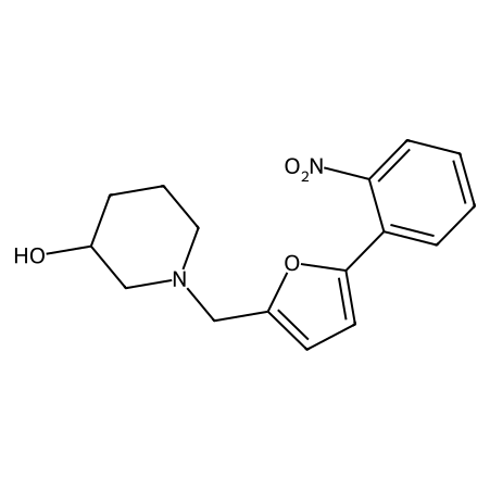 O=[N+]([O-])c1ccccc1-c1ccc(CN2CCCC(O)C2)o1